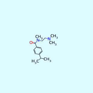 CC(C)c1ccc(C(=O)N(C)CCN(C)C)cc1